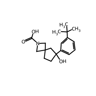 CC(C)(C)c1cccc(C2(O)CCC3(CN(C(=O)O)C3)C2)c1